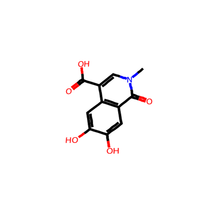 Cn1cc(C(=O)O)c2cc(O)c(O)cc2c1=O